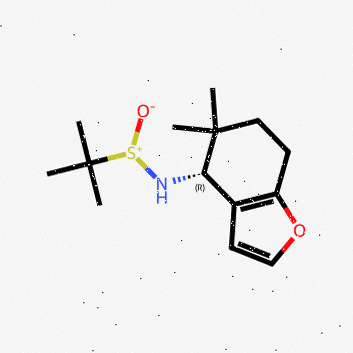 CC1(C)CCc2occc2[C@@H]1N[S+]([O-])C(C)(C)C